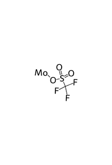 O=S(=O)([O][Mo])C(F)(F)F